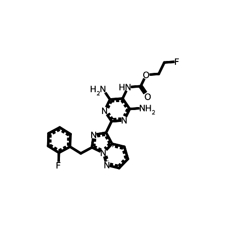 Nc1nc(-c2nc(Cc3ccccc3F)n3ncccc23)nc(N)c1NC(=O)OCCF